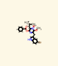 COc1c(Cc2c[nH]c3ccc(Br)cc23)nc(OC(=O)c2ccccc2)c(CC(C)C)[n+]1[O-]